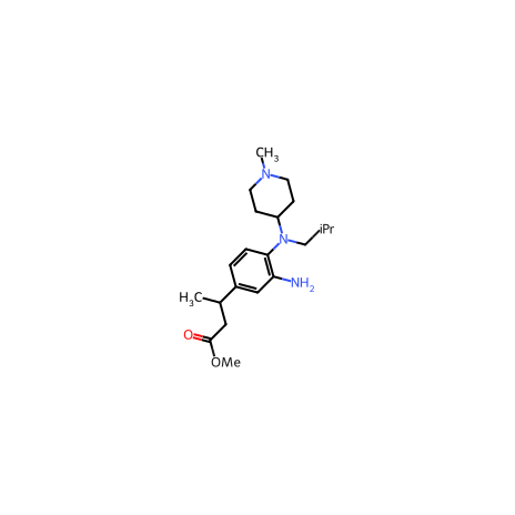 COC(=O)CC(C)c1ccc(N(CC(C)C)C2CCN(C)CC2)c(N)c1